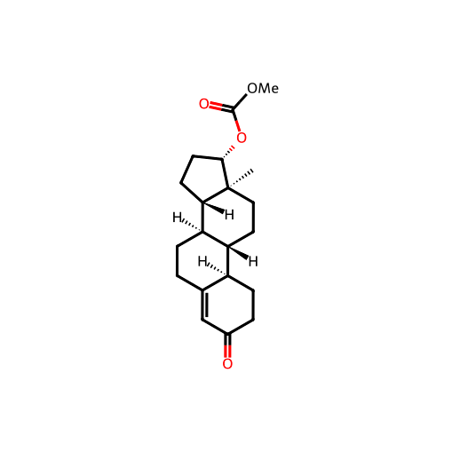 COC(=O)O[C@H]1CC[C@H]2[C@@H]3CCC4=CC(=O)CC[C@@H]4[C@H]3CC[C@]12C